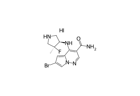 C[C@]1(F)CNC[C@H]1Nc1c(C(N)=O)cnn2cc(Br)cc12.I